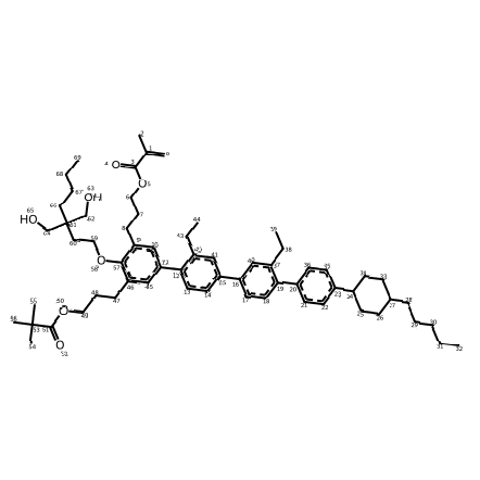 C=C(C)C(=O)OCCCc1cc(-c2ccc(-c3ccc(-c4ccc(C5CCC(CCCCC)CC5)cc4)c(CC)c3)cc2CC)cc(CCCOC(=O)C(C)(C)C)c1OCCC(CO)(CO)CCCC